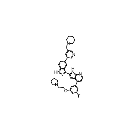 Fc1cc(OCCN2CCCC2)cc(-c2ccnc3[nH]c(-c4n[nH]c5ccc(-c6cncc(CN7CCCCC7)c6)cc45)cc23)c1